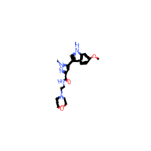 COc1ccc2c(-c3cc(C(=O)NCCN4CCOCC4)nn3C)c[nH]c2c1